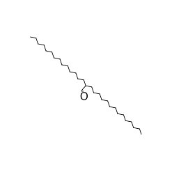 CCCCCCCCCCCCCCC(C=O)CCCCCCCCCCCCCC